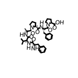 CC(C)[C@H](NC(=O)[C@@H](N)Cc1ccccc1)C(=O)N[C@@H](C)C(=O)N1CCC[C@H]1C(=O)N[C@@H](Cc1ccccc1)C(=O)N1CCCC1C(=O)O